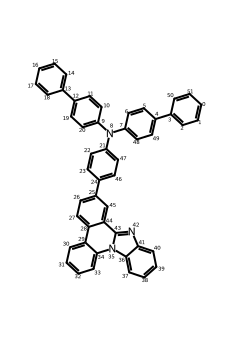 c1ccc(-c2ccc(N(c3ccc(-c4ccccc4)cc3)c3ccc(-c4ccc5c6ccccc6n6c7ccccc7nc6c5c4)cc3)cc2)cc1